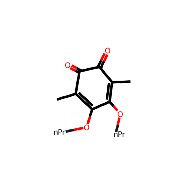 CCCOC1=C(C)C(=O)C(=O)C(C)=C1OCCC